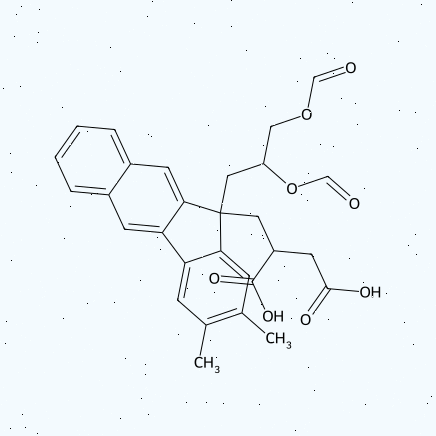 Cc1cc2c(cc1C)C(CC(COC=O)OC=O)(CC(CC(=O)O)C(=O)O)c1cc3ccccc3cc1-2